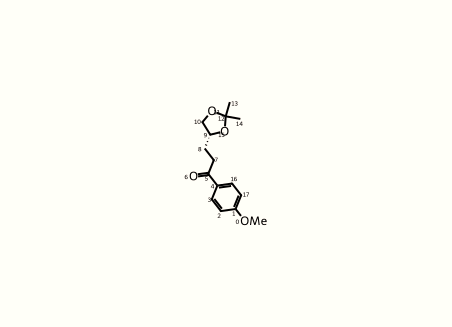 COc1ccc(C(=O)CC[C@@H]2COC(C)(C)O2)cc1